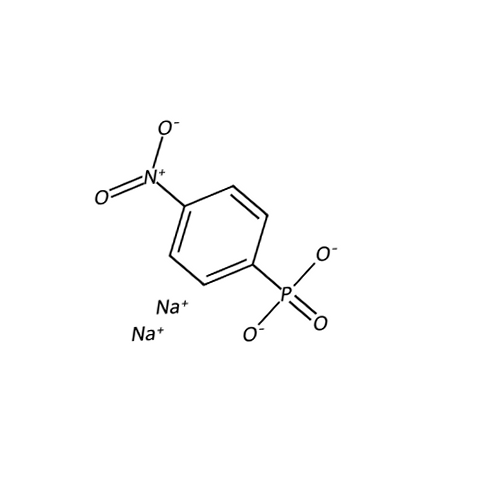 O=[N+]([O-])c1ccc(P(=O)([O-])[O-])cc1.[Na+].[Na+]